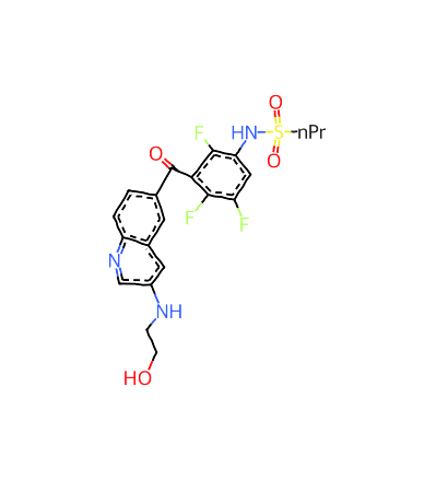 CCCS(=O)(=O)Nc1cc(F)c(F)c(C(=O)c2ccc3ncc(NCCO)cc3c2)c1F